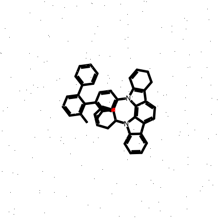 Cc1cc(-n2c3c(c4ccc5c6ccccc6n(C6C=CC=CC6)c5c42)CCC=C3)ccc1-c1c(C)cccc1-c1ccccc1